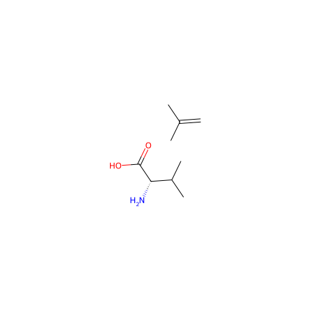 C=C(C)C.CC(C)[C@H](N)C(=O)O